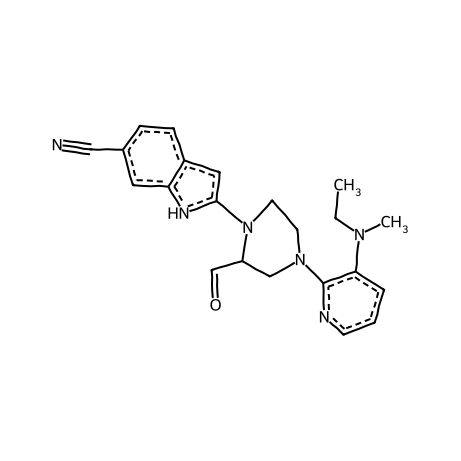 CCN(C)c1cccnc1N1CCN(c2cc3ccc(C#N)cc3[nH]2)C(C=O)C1